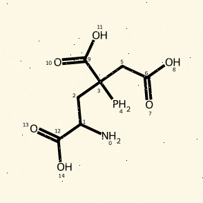 NC(CC(P)(CC(=O)O)C(=O)O)C(=O)O